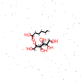 CCCCCC(=O)O.O=C(CO)[C@H](O)[C@@H](O)[C@H](O)CO